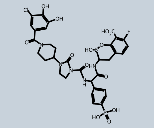 O=C(O)c1c(F)ccc2c1OB(O)C(NC(=O)C(NC(=O)N1CCN(C3CCN(C(=O)c4cc(O)c(O)c(Cl)c4)CC3)C1=O)c1ccc(P(=O)(O)O)cc1)C2